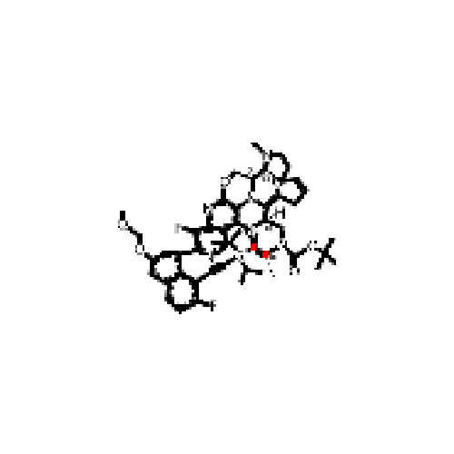 COCOc1cc(-c2ncc3c4c5c(nc3c2F)OC[C@@H]([C@@H]2CCCN2C)N5C(=C2CC=CO2)[C@H]2CN(C(=O)OC(C)(C)C)[C@H](C)CN42)c2c(C#C[Si](C(C)C)(C(C)C)C(C)C)c(F)ccc2c1